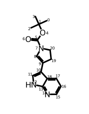 CC(C)(C)OC(=O)N1C=C(c2c[nH]c3ncccc23)CC1